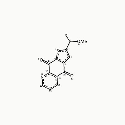 COC(C)c1cc2c(s1)C(=O)c1ncccc1C2=O